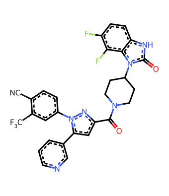 N#Cc1ccc(-n2nc(C(=O)N3CCC(n4c(=O)[nH]c5ccc(F)c(F)c54)CC3)cc2-c2cccnc2)cc1C(F)(F)F